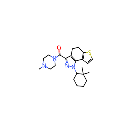 CN1CCN(C(=O)c2nn(C3CCCCC3(C)C)c3c2CCc2sccc2-3)CC1